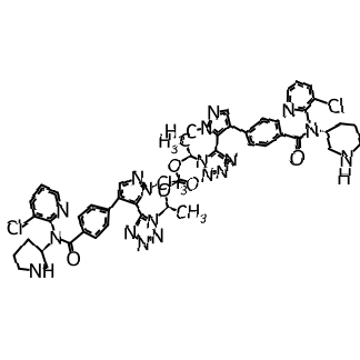 C[C@H](OC(=O)O[C@@H](C)n1nnnc1-c1c(-c2ccc(C(=O)N(c3ncccc3Cl)[C@@H]3CCCNC3)cc2)cnn1C)n1nnnc1-c1c(-c2ccc(C(=O)N(c3ncccc3Cl)[C@@H]3CCCNC3)cc2)cnn1C